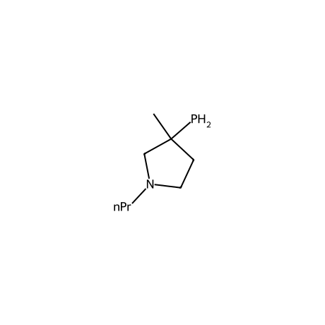 CCCN1CCC(C)(P)C1